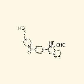 O=CC1(F)NC(c2ccc(C(=O)N3CCN(CCO)CC3)cc2)=Cc2ccccc21